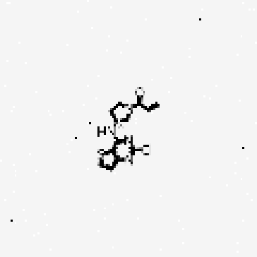 C=CC(=O)N1CC[C@@H](Nc2nc(Cl)nc3ccsc23)C1